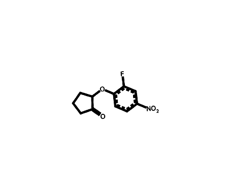 O=C1CCCC1Oc1ccc([N+](=O)[O-])cc1F